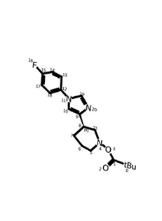 CC(C)(C)C(=O)ON1CCC[C@@H](c2cn(-c3ccc(F)cc3)cn2)C1